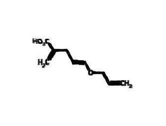 C=CCOC=CCC(=C)C(=O)O